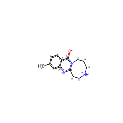 Bc1ccc2c(=O)n3c(nc2c1)CCNCCC3